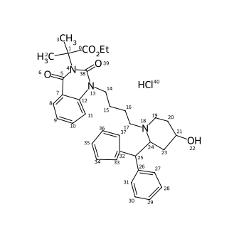 CCOC(=O)C(C)(C)n1c(=O)c2ccccc2n(CCCCN2CCC(O)CC2C(c2ccccc2)c2ccccc2)c1=O.Cl